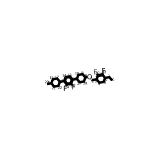 CCC1CCC(COC2CCC(c3ccc(C4CCC(C)CC4)c(F)c3F)CC2)C(F)=C1F